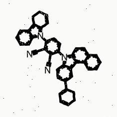 N#Cc1c(-n2c3c(c4ccccc42)CCC=C3)ccc(-n2c3ccc(C4=CC=CCC4)cc3c3c4ccccc4ccc32)c1C#N